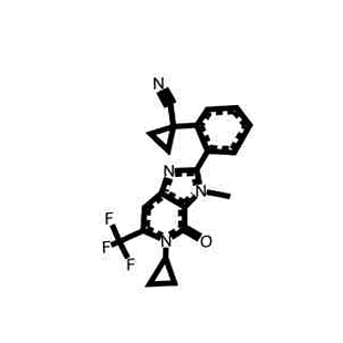 Cn1c(-c2ccccc2C2(C#N)CC2)nc2cc(C(F)(F)F)n(C3CC3)c(=O)c21